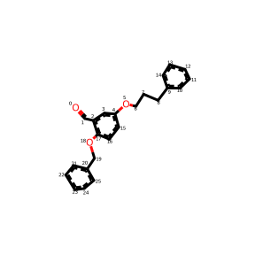 O=Cc1cc(OCCCc2ccccc2)ccc1OCc1ccccc1